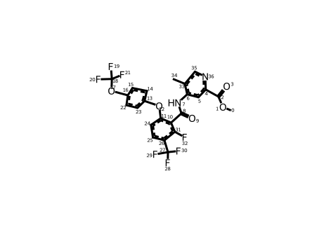 COC(=O)c1cc(NC(=O)c2c(Oc3ccc(OC(F)(F)F)cc3)ccc(C(F)(F)F)c2F)c(C)cn1